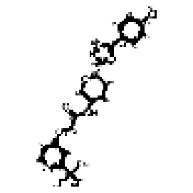 O=C(COc1ccnc(C(F)(F)F)c1)N[C@@H]1CC[C@@H](c2nnc(-c3ccc(Cl)cc3)o2)OC1